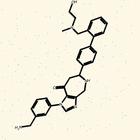 CN(CCO)Cc1ccccc1-c1ccc(C2CC(=O)c3c(ncn3-c3cccc(CN)c3)CN2)cc1